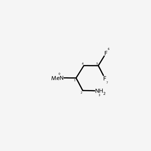 CNC(CN)CC(F)F